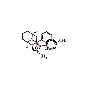 COc1cccc(C(=O)N2[C@@H]3CCC[C@H]2c2cn(C)c(-c4ccccc4)c2C3)c1Cl